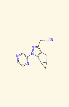 N#CCc1nn(-c2cnccn2)c2c1CC1CC21